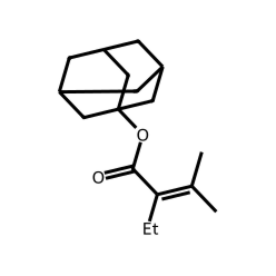 CCC(C(=O)OC12CC3CC(CC(C3)C1)C2)=C(C)C